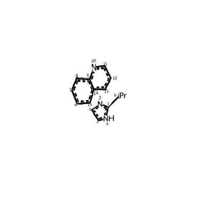 CC(C)c1ncc[nH]1.c1ccc2ncccc2c1